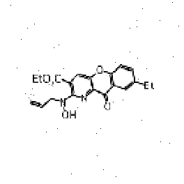 C=CCN(O)c1nc2c(=O)c3cc(CC)ccc3oc2cc1C(=O)OCC